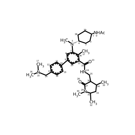 CC(=O)N[C@H]1CC[C@H](N(C)c2cc(-c3ccc(CN(C)C)cc3)cc(C(=O)NCC3C(=O)N(C)C(C)CC3C)c2C)CC1